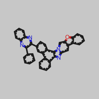 c1ccc(-c2nc3ccccc3nc2-c2ccc3c(c2)c2ccccc2c2nc4cc5c(cn4c32)oc2ccccc25)cc1